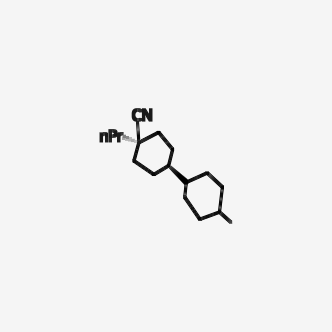 CCC[C@]1(C#N)CC[C@@H](C2CCC(C)CC2)CC1